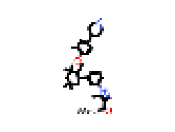 COC(=O)c1cnn(-c2cccc(C3=C(COc4ccc(C5CCN(C)CC5)cc4C)C(C)(C)CC(C)(C)C3)c2)c1C